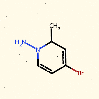 CC1C=C(Br)C=CN1N